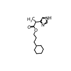 CC(C(=O)OCCCC1CCCCC1)c1c[nH]cn1